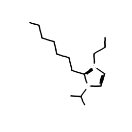 CCCCCCCc1n(C(C)C)cc[n+]1CCC